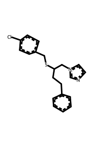 Clc1ccc(CSC(CCc2ccccc2)Cn2ccnc2)cc1